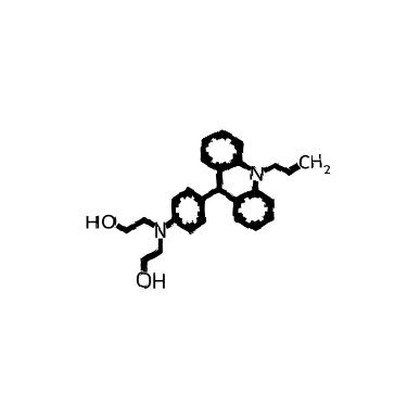 C=CCN1c2ccccc2C(c2ccc(N(CCO)CCO)cc2)c2ccccc21